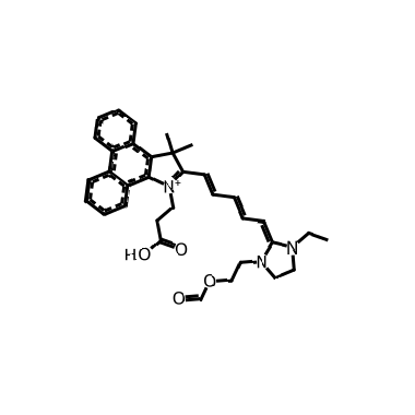 CCN1CCN(CCOC=O)\C1=C/C=C/C=C/C1=[N+](CCC(=O)O)c2c(c3ccccc3c3ccccc23)C1(C)C